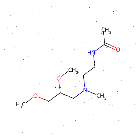 COCC(CN(C)CCNC(C)=O)OC